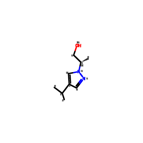 CC(C)c1cnn([C@@H](C)CO)c1